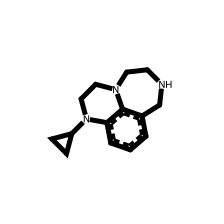 c1cc2c3c(c1)N(C1CC1)CCN3CCNC2